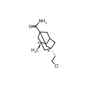 C[C@]12CC3CC(C(N)=O)(C1)C[C@@](CCCl)(C3)C2